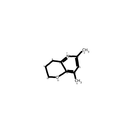 Cc1cc(C)c2c(n1)CCCO2